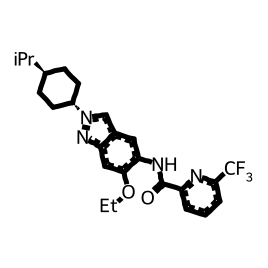 CCOc1cc2nn([C@H]3CC[C@H](C(C)C)CC3)cc2cc1NC(=O)c1cccc(C(F)(F)F)n1